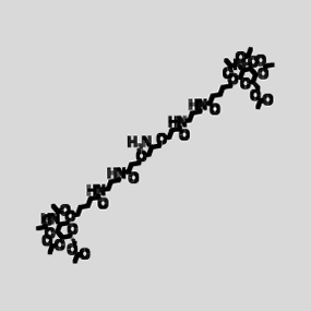 CC(=O)N[C@H]1[C@H](OCCCCC(=O)NCCCNC(=O)CCOCC(N)COCCC(=O)NCCCNC(=O)CCCCO[C@@H]2O[C@H](COC(C)=O)[C@H](OC(C)=O)[C@H](OC(C)=O)[C@H]2NC(C)=O)O[C@H](COC(C)=O)[C@H](OC(C)=O)[C@@H]1OC(C)=O